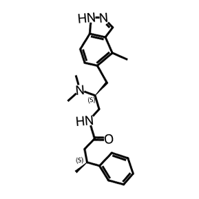 Cc1c(C[C@@H](CNC(=O)C[C@H](C)c2ccccc2)N(C)C)ccc2[nH]ncc12